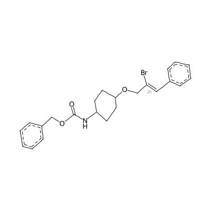 O=C(NC1CCC(OC/C(Br)=C/c2ccccc2)CC1)OCc1ccccc1